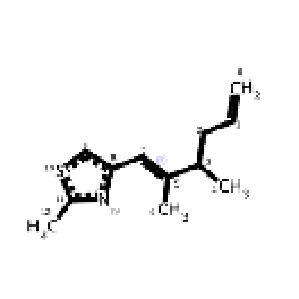 C=CCC(C)/C(C)=C/c1csc(C)n1